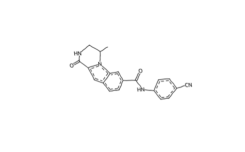 CC1CNC(=O)c2cc3ccc(C(=O)Nc4ccc(C#N)cc4)cc3n21